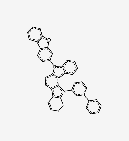 C1=Cc2c(n(-c3cccc(-c4ccccc4)c3)c3c2ccc2c3c3ccccc3n2-c2ccc3c(c2)oc2ccccc23)CC1